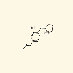 COCc1ccc(CC2CCCN2)cc1.Cl